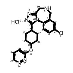 Cl.Clc1ccc2c(c1)CNCc1nnc(C3CCC(Oc4cccnn4)CC3)n1-2